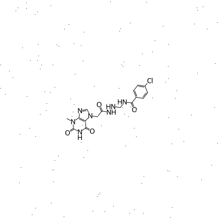 Cn1c(=O)[nH]c(=O)c2c1ncn2CC(=O)NNCNC(=O)c1ccc(Cl)cc1